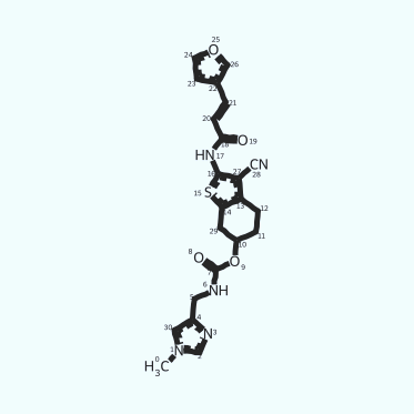 Cn1cnc(CNC(=O)OC2CCc3c(sc(NC(=O)C=Cc4ccoc4)c3C#N)C2)c1